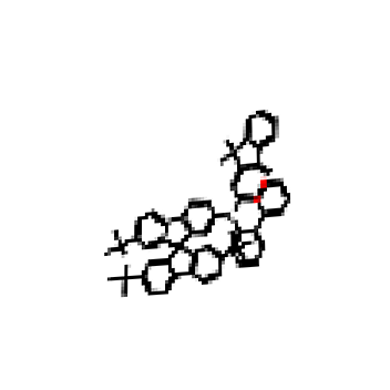 C=C1/C(=C\C(=C/C)N(c2ccc3c(c2)C2(c4cc(C(C)(C)C)ccc4-3)c3cc(C(C)(C)C)ccc3-c3ccc(C(C)(C)C)cc32)c2ccccc2-c2ccccc2)C(C)(C)c2ccccc21